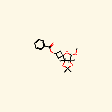 CO[C@@H]1O[C@]2(C[C@H](OC(=O)c3ccccc3)C2)[C@H]2OC(C)(C)O[C@@H]12